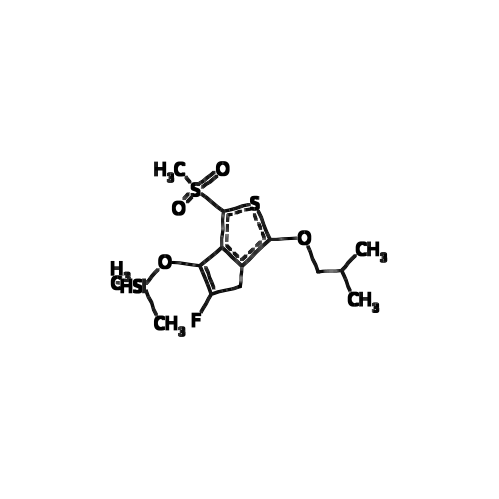 CC(C)COc1sc(S(C)(=O)=O)c2c1CC(F)=C2O[SiH](C)C